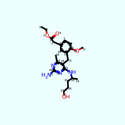 CCOC(=O)Cc1ccc(OC)c(Cc2c(C)nc(N)nc2NC(C)CCCO)c1